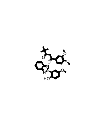 COc1ccc(C(=O)CC(=O)C(C)(C)C)cc1OC.COc1ccc(O)c(-n2nc3ccccc3n2)c1